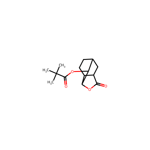 CC(C)(C)C(=O)OC1C2CCC3C(C2)C(=O)OC31